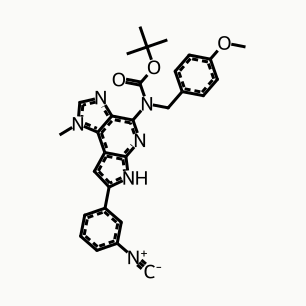 [C-]#[N+]c1cccc(-c2cc3c(nc(N(Cc4ccc(OC)cc4)C(=O)OC(C)(C)C)c4ncn(C)c43)[nH]2)c1